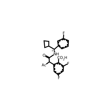 CC(=O)C(C(=O)N[C@H](c1cccc(F)c1)C1CCC1)c1cc(F)cc(F)c1C(=O)O